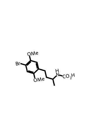 COc1cc(CCC(C)NC(=O)O)c(OC)cc1Br